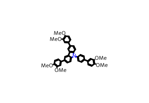 COc1ccc(-c2ccc(-n3c4ccc(-c5ccc(OC)c(OC)c5)cc4c4cc(-c5ccc(OC)c(OC)c5)ccc43)cc2)cc1OC